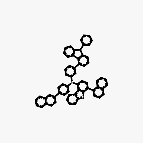 c1ccc(C2c3ccccc3-c3c(-c4cccc(N(c5ccc(-c6ccc7ccccc7c6)cc5)c5ccc(-c6cccc7ccccc67)c6sc7ccccc7c56)c4)cccc32)cc1